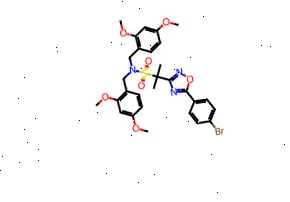 COc1ccc(CN(Cc2ccc(OC)cc2OC)S(=O)(=O)C(C)(C)c2noc(-c3ccc(Br)cc3)n2)c(OC)c1